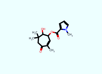 CC1=CC(OC(=O)c2cccn2C)C(O)C(C)(C)CC1=O